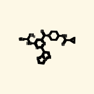 CC(Nc1cc(C(=O)N2CCC(NC(=O)C3CC3)CC2)nc(-c2cnn3ccsc23)n1)C(C)(C)C